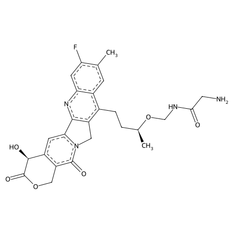 Cc1cc2c(CC[C@H](C)OCNC(=O)CN)c3c(nc2cc1F)-c1cc2c(c(=O)n1C3)COC(=O)[C@H]2O